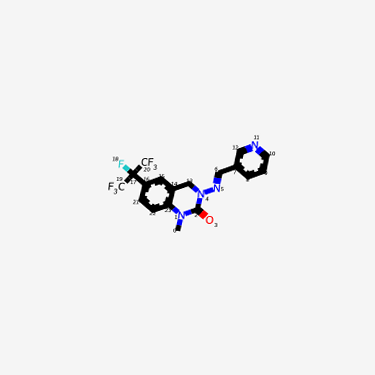 CN1C(=O)N(N=Cc2cccnc2)Cc2cc(C(F)(C(F)(F)F)C(F)(F)F)ccc21